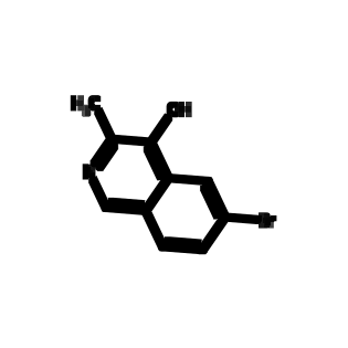 Cc1ncc2ccc(Br)cc2c1O